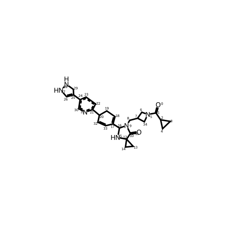 O=C(C1CC1)N1CC(CN2C(=O)C3(CC3)NC2C2=CCC(c3ccc(C4=CNNC4)cn3)C=C2)C1